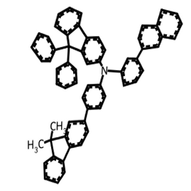 CC1(C)c2ccccc2-c2ccc(-c3ccc(N(c4cccc(-c5ccc6ccccc6c5)c4)c4ccc5c(c4)C(c4ccccc4)(c4ccccc4)c4ccccc4-5)cc3)cc21